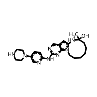 CC1(O)CCCCCCn2c(cc3cnc(Nc4ccc(N5CCNCC5)cn4)nc32)N1